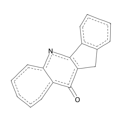 O=c1c2cccccc-2nc2c1Cc1ccccc1-2